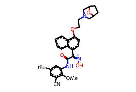 COc1c(C#N)cc(C(C)(C)C)cc1NC(=O)/C(=N\O)c1ccc(OCCN2CC3CCC(C2)O3)c2ccccc12